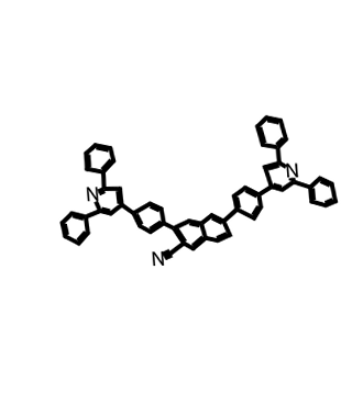 N#Cc1cc2ccc(-c3ccc(-c4cc(-c5ccccc5)nc(-c5ccccc5)c4)cc3)cc2cc1-c1ccc(-c2cc(-c3ccccc3)nc(-c3ccccc3)c2)cc1